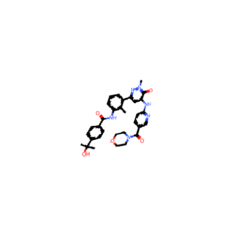 Cc1c(NC(=O)c2ccc(C(C)(C)O)cc2)cccc1-c1cc(Nc2ccc(C(=O)N3CCOCC3)cn2)c(=O)n(C)n1